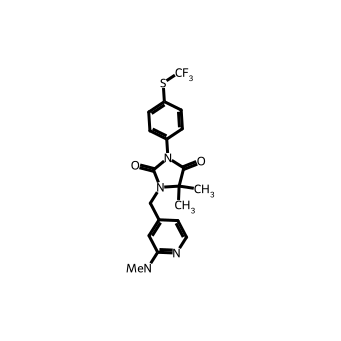 CNc1cc(CN2C(=O)N(c3ccc(SC(F)(F)F)cc3)C(=O)C2(C)C)ccn1